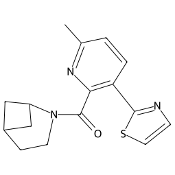 Cc1ccc(-c2nccs2)c(C(=O)N2CCC3CC2C3)n1